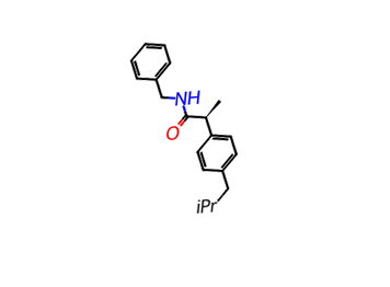 CC(C)Cc1ccc([C@H](C)C(=O)NCc2ccccc2)cc1